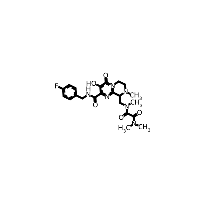 CN(C)C(=O)C(=O)N(C)CC1c2nc(C(=O)NCc3ccc(F)cc3)c(O)c(=O)n2CCN1C